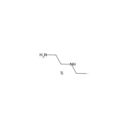 [CH2]CNCCN.[Ti]